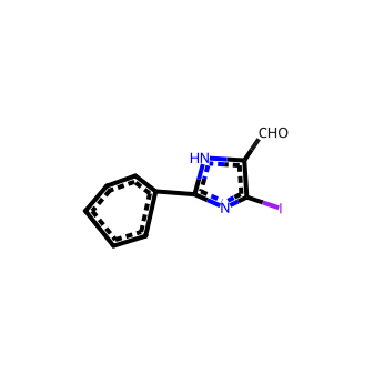 O=Cc1[nH]c(-c2ccccc2)nc1I